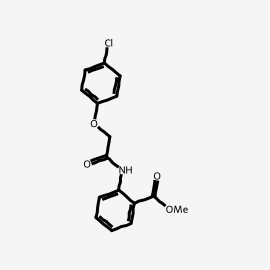 COC(=O)c1ccccc1NC(=O)COc1ccc(Cl)cc1